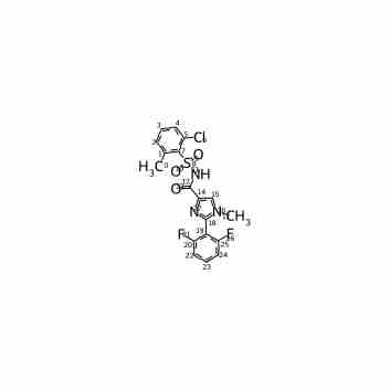 Cc1cccc(Cl)c1S(=O)(=O)NC(=O)c1cn(C)c(-c2c(F)cccc2F)n1